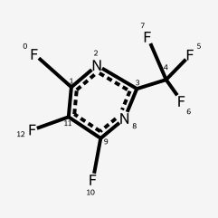 Fc1nc(C(F)(F)F)nc(F)c1F